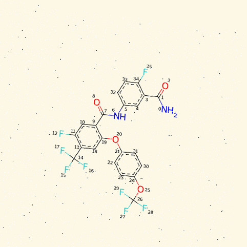 NC(=O)c1cc(NC(=O)c2cc(F)c(C(F)(F)F)cc2Oc2ccc(OC(F)(F)F)cc2)ccc1F